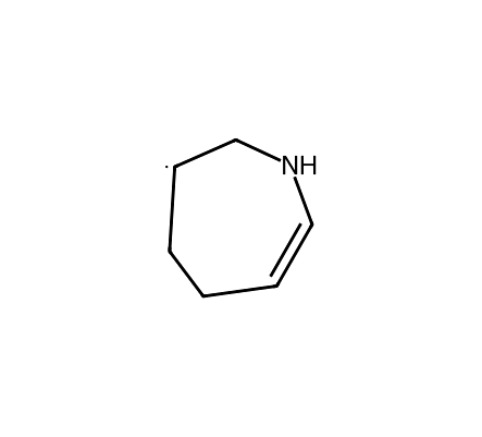 [CH]1CCC=CNC1